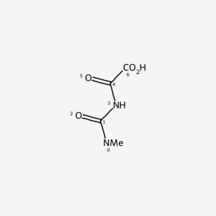 CNC(=O)NC(=O)C(=O)O